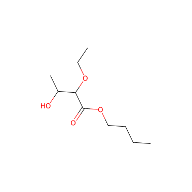 CCCCOC(=O)C(OCC)C(C)O